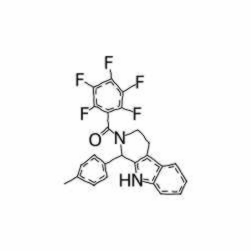 Cc1ccc(C2c3[nH]c4ccccc4c3CCN2C(=O)c2c(F)c(F)c(F)c(F)c2F)cc1